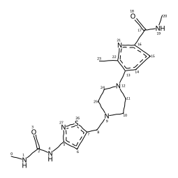 CNC(=O)Nc1cc(CN2CCN(c3ccc(C(=O)NC)nc3C)CC2)sn1